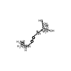 N=C(NCCCCc1ccc(-c2ccc(CCCNC(=O)CCCCCN(CC(O)CC(O)CCO)CC(N)C(O)C(N)CCO)cc2)cc1)NC(=O)c1nc(Cl)c(N)nc1N